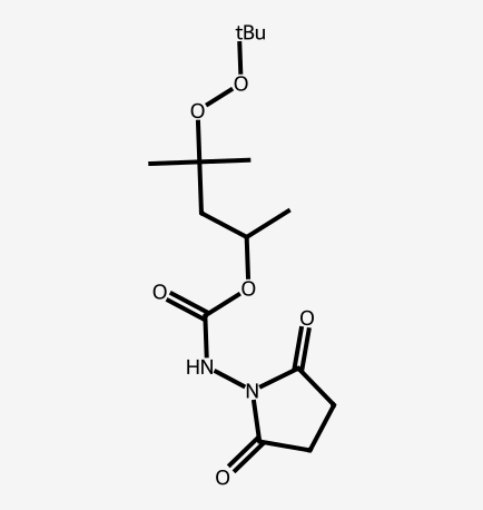 CC(CC(C)(C)OOC(C)(C)C)OC(=O)NN1C(=O)CCC1=O